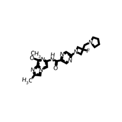 COc1nc(NC(=O)c2cnc(N3CC(F)(CN4CCCC4)C3)cn2)cn2cc(C)nc12